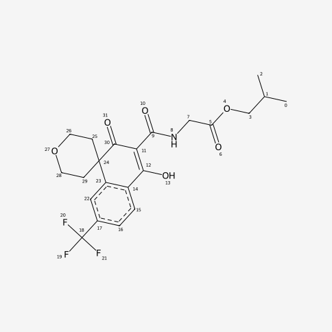 CC(C)COC(=O)CNC(=O)C1=C(O)c2ccc(C(F)(F)F)cc2C2(CCOCC2)C1=O